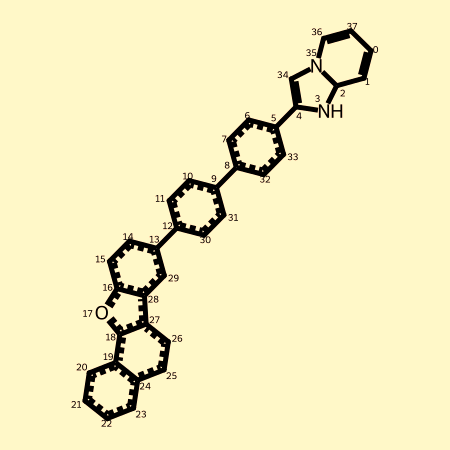 C1=CC2NC(c3ccc(-c4ccc(-c5ccc6oc7c8ccccc8ccc7c6c5)cc4)cc3)=CN2C=C1